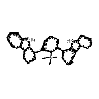 CS(C)(C)c1c(-c2cccc3c2[nH]c2ccccc23)cccc1-c1cccc2c1[nH]c1ccccc12